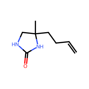 C=CCCC1(C)CNC(=O)N1